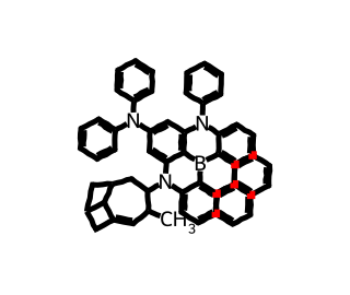 CC1C=C2CC3CC(CC1N1c4cccc(-c5ccccc5)c4B4c5c(-c6ccccc6)cccc5N(c5ccccc5)c5cc(N(c6ccccc6)c6ccccc6)cc1c54)C23